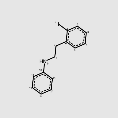 Ic1ccccc1CCNc1ccccc1